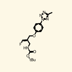 Cc1nnn(-c2ccc(OC/C(=C/F)CNC(=O)OC(C)(C)C)cc2)n1